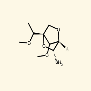 B[C@@H]1O[C@]2(C(C)OC)CO[C@H]1C2OC